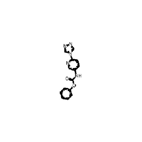 O=C(Nc1ccc(-n2cnnc2)nc1)Oc1ccccc1